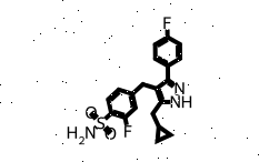 NS(=O)(=O)c1ccc(Cc2c(-c3ccc(F)cc3)n[nH]c2CC2CC2)cc1F